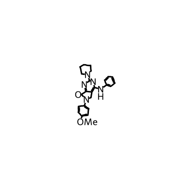 COc1ccc(N2Cc3c(Nc4ccccc4)nc(N4CCCCC4)nc3C2=O)cc1